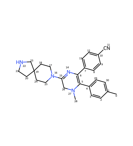 Cc1ccc(C2=C(c3ccc(C#N)cc3)N=C(N3CCC4(CCNC4)CC3)CN2C)cc1